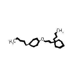 CCCCC[C@H]1CC[C@H](OC/C=C/C2(CCCC)CCCCC2)CC1